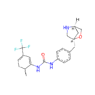 CC1CC=C(C(F)(F)F)C=C1NC(=O)Nc1ccc(C[C@@]23CN[C@@H](CO2)C3)cc1